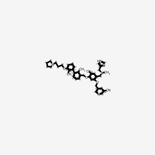 Cc1c(COc2cc(OCc3cncc(C#N)c3)c(CN(C)Cc3c[nH]cn3)cc2Cl)cccc1-c1cccc(OCCCN2CCCC2)c1C